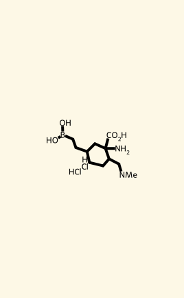 CNCC1CCC(CCB(O)O)CC1(N)C(=O)O.Cl.Cl